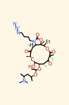 CCC1OC(=O)C(C)(F)C(=O)[C@H](C)[C@@H](OC(C)OC(C)CC(C)N(C)C)C(O)C[C@@H](C)C(=O)[C@H](C)[C@H]2N(CCCCN=[N+]=[N-])C(=O)O[C@]12C